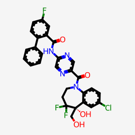 O=C(Nc1cnc(C(=O)N2CCC(F)(F)[C@](O)(CO)c3cc(Cl)ccc32)cn1)c1cc(F)ccc1-c1ccccc1